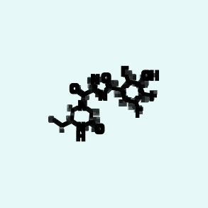 CCC1CN(C(=O)c2noc(-c3cc(F)c(F)c(O)c3F)n2)CC(=O)N1